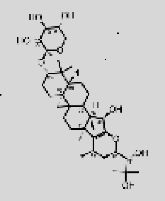 C[C@@H]1C[C@H]([C@H](O)C(C)(C)O)OC2=C1[C@@]1(C)CCC34C[C@@]35CC[C@H](O[C@@H]3OC[C@@H](O)[C@H](O)[C@H]3O)C(C)(C)[C@@H]5CC[C@H]4[C@]1(C)[C@H]2O